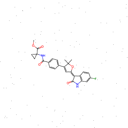 COC(=O)C1(NC(=O)c2ccc(C3=C/C(=C4\C(=O)Nc5cc(F)ccc54)OC3(C)C)cc2)CC1